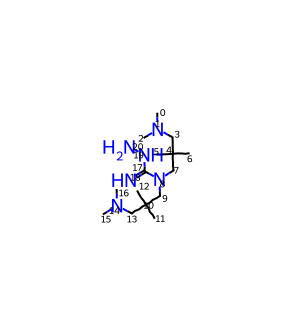 CN(C)CC(C)(C)CN(CC(C)(C)CN(C)C)C(=N)NN